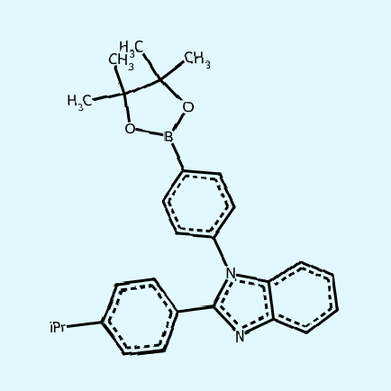 CC(C)c1ccc(-c2nc3ccccc3n2-c2ccc(B3OC(C)(C)C(C)(C)O3)cc2)cc1